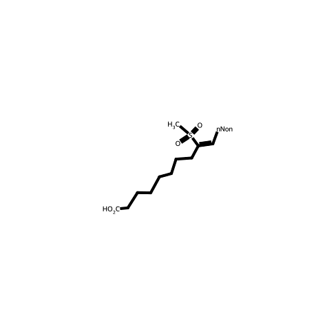 CCCCCCCCC/C=C(/CCCCCCCC(=O)O)S(C)(=O)=O